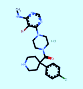 CNc1ncnc(N2CCN(C(=O)C3(c4ccc(Cl)cc4)CCNCC3)CC2)c1Br.Cl